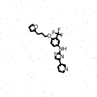 FC(F)(F)c1cc(Nc2nc(-c3cccnc3)cs2)ccc1OCCCc1ccco1